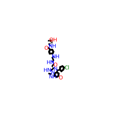 COc1ccc2c(c1)C(c1ccc(Cl)cc1)=N[C@@H](CC(=O)NCCNc1ccc(C(=O)NC[Si](C)(C)O)cc1)C(=N)N2C(C)=N